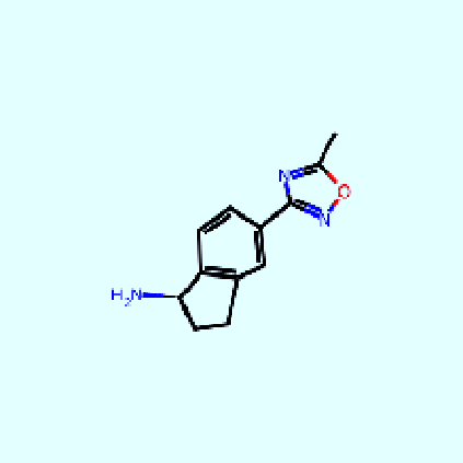 Cc1nc(-c2ccc3c(c2)CC[C@H]3N)no1